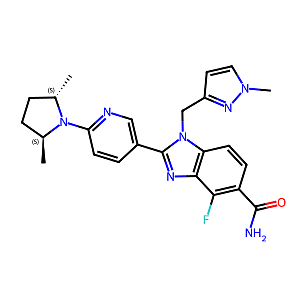 C[C@H]1CC[C@H](C)N1c1ccc(-c2nc3c(F)c(C(N)=O)ccc3n2Cc2ccn(C)n2)cn1